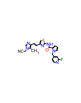 Cc1c(/C=C/c2csc(NC(=O)c3cccn3Cc3ccnc(F)c3)n2)ncn1CC#N